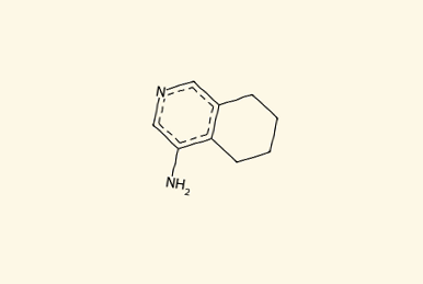 Nc1cncc2c1CCCC2